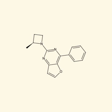 C[C@H]1CCN1c1nc(-c2ccccc2)c2occc2n1